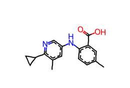 Cc1ccc(Nc2cnc(C3CC3)c(C)c2)c(C(=O)O)c1